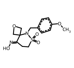 COc1ccc(CN2C3(COC3)C(=NO)CCS2(=O)=O)cc1